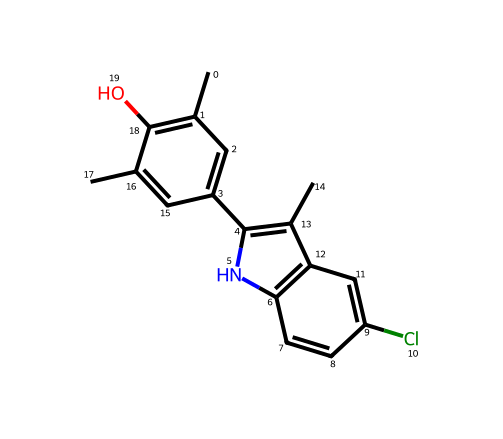 Cc1cc(-c2[nH]c3ccc(Cl)cc3c2C)cc(C)c1O